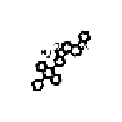 CC1(C)c2cc(-c3c4ccccc4c(-c4ccccc4)c4ccccc34)ccc2-c2c1ccc1c2ccc2sc3ccccc3c21